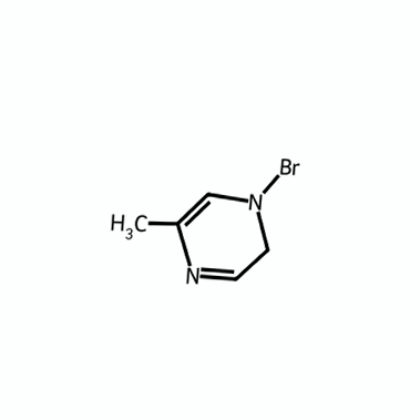 CC1=CN(Br)CC=N1